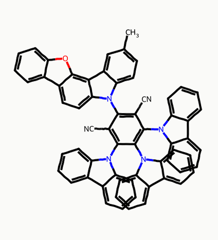 Cc1ccc2c(c1)c1c3oc4ccccc4c3ccc1n2-c1c(C#N)c(-n2c3ccccc3c3ccccc32)c(-n2c3ccccc3c3ccccc32)c(-n2c3ccccc3c3ccccc32)c1C#N